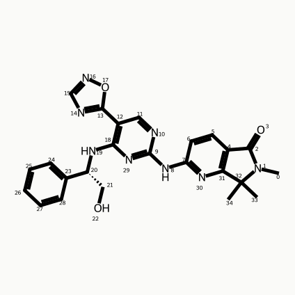 CN1C(=O)c2ccc(Nc3ncc(-c4ncno4)c(N[C@H](CO)c4ccccc4)n3)nc2C1(C)C